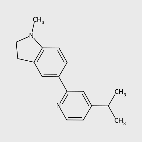 CC(C)c1ccnc(-c2ccc3c(c2)CCN3C)c1